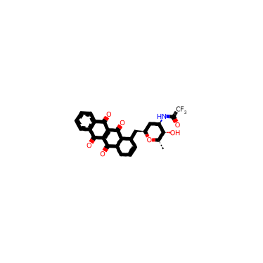 C[C@@H]1O[C@@H](CC2C=CCC3C(=O)C4=C(C(=O)c5ccccc5C4=O)C(=O)C23)C[C@H](NC(=O)C(F)(F)F)[C@@H]1O